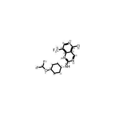 FC(F)O[C@H]1CC[C@H](Nc2ncc3c(Cl)ncc(C(F)(F)F)c3n2)CC1